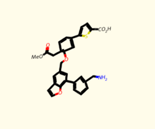 COC(=O)Cc1ccc(-c2ccc(C(=O)O)s2)cc1OCc1cc(-c2cccc(CN)c2)c2occc2c1